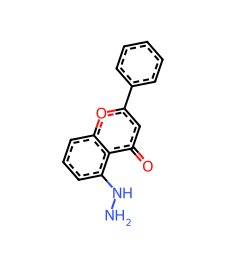 NNc1cccc2oc(-c3ccccc3)cc(=O)c12